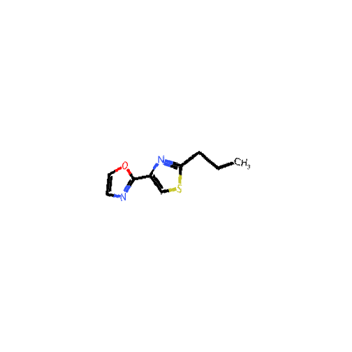 CCCc1nc(-c2ncco2)[c]s1